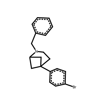 Brc1ccc(C23CCN(Cc4ccccc4)C(C2)C3)cc1